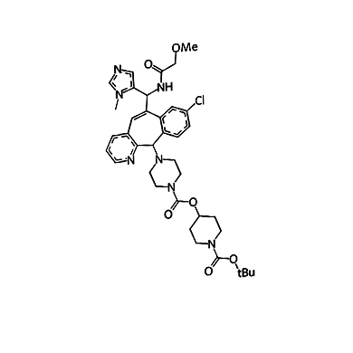 COCC(=O)NC(C1=Cc2cccnc2C(N2CCN(C(=O)OC3CCN(C(=O)OC(C)(C)C)CC3)CC2)c2ccc(Cl)cc21)c1cncn1C